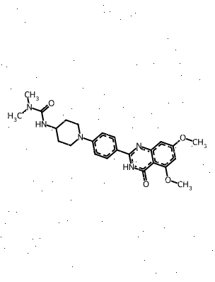 COc1cc(OC)c2c(=O)[nH]c(-c3ccc(N4CCC(NC(=O)N(C)C)CC4)cc3)nc2c1